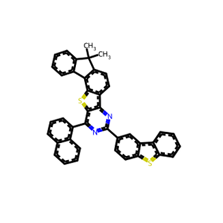 CC1(C)c2ccccc2-c2c1ccc1c2sc2c(-c3cccc4ccccc34)nc(-c3ccc4sc5ccccc5c4c3)nc21